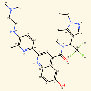 CCn1ncc(C(N(C)C(=O)c2cc(-c3ccc(NCCN(C)C)c(C)n3)nc3ccc(O)cc23)C(F)(F)F)c1C